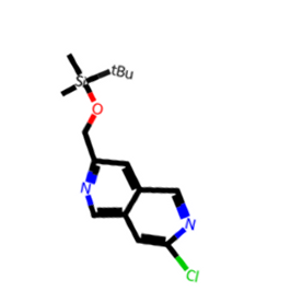 CC(C)(C)[Si](C)(C)OCc1cc2cnc(Cl)cc2cn1